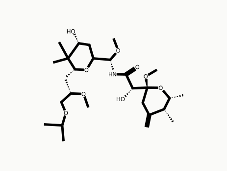 C=C1C[C@](OC)([C@H](O)C(=O)N[C@@H](OC)C2C[C@@H](O)C(C)(C)[C@@H](C[C@@H](COC(C)C)OC)O2)O[C@H](C)[C@@H]1C